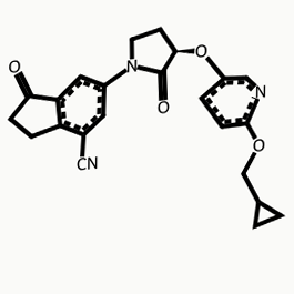 N#Cc1cc(N2CC[C@@H](Oc3ccc(OCC4CC4)nc3)C2=O)cc2c1CCC2=O